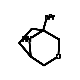 CCCC12CCC(COC1)N2